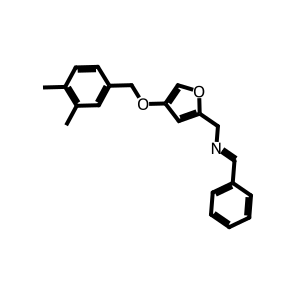 Cc1ccc(COc2coc(CN=Cc3ccccc3)c2)cc1C